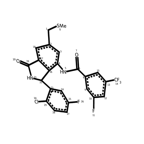 CSCc1cc(NC(=O)c2cc(F)cc(C(F)(F)F)c2)c2c(c1)C(=O)NC2c1cc(F)ccc1Cl